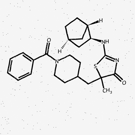 CC1(CC2CCN(C(=O)c3ccccc3)CC2)SC(N[C@H]2C[C@H]3CC[C@H]2C3)=NC1=O